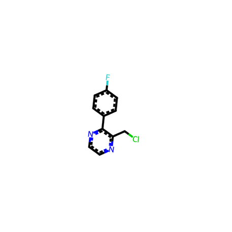 Fc1ccc(-c2nccnc2CCl)cc1